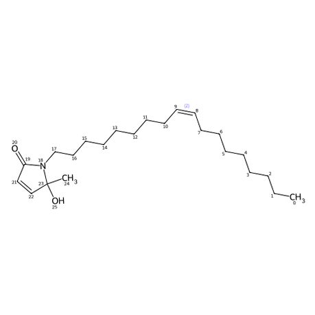 CCCCCCCC/C=C\CCCCCCCCN1C(=O)C=CC1(C)O